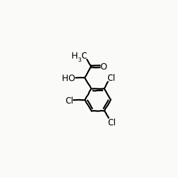 CC(=O)C(O)c1c(Cl)cc(Cl)cc1Cl